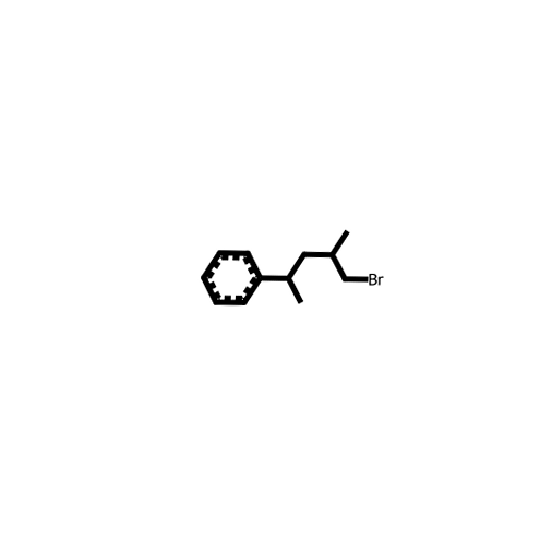 CC(CBr)CC(C)c1ccccc1